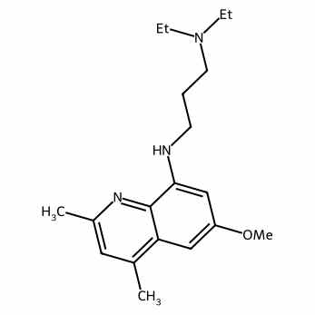 CCN(CC)CCCNc1cc(OC)cc2c(C)cc(C)nc12